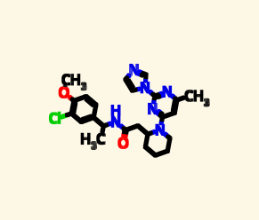 COc1ccc(C(C)NC(=O)CC2CCCCN2c2cc(C)nc(-n3ccnc3)n2)cc1Cl